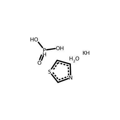 O.O=[PH](O)O.[KH].c1cscn1